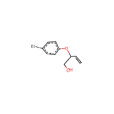 C=CC(CO)Oc1ccc(CC)cc1